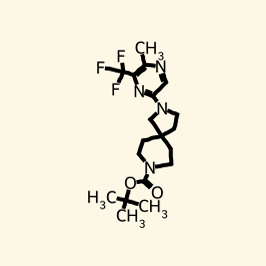 Cc1ncc(N2CCC3(CCN(C(=O)OC(C)(C)C)CC3)C2)nc1C(F)(F)F